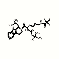 CC(C)CC1c2[nH]c3ccccc3c2CCN1C(=O)[C@H](CCCCNC(=O)C(F)(F)F)NC(=O)OC(C)(C)C